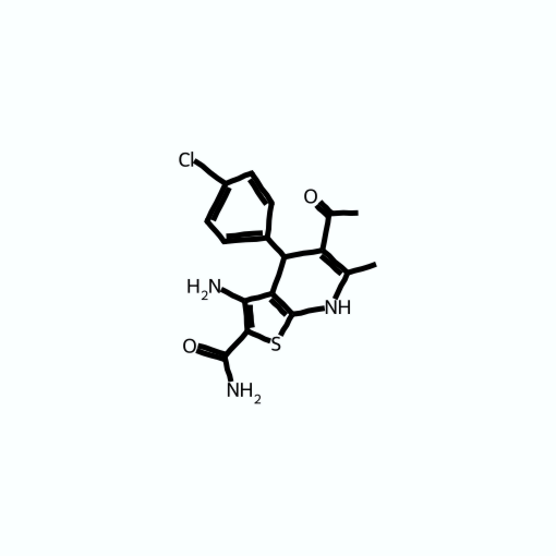 CC(=O)C1=C(C)Nc2sc(C(N)=O)c(N)c2C1c1ccc(Cl)cc1